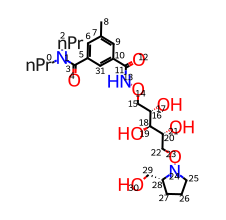 CCCN(CCC)C(=O)c1cc(C)cc(C(=O)NOC[C@H](O)[C@H](O)[C@H](O)CON2CCC[C@@H]2CO)c1